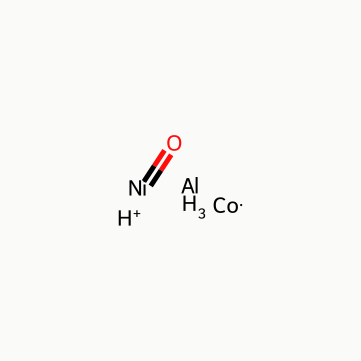 [AlH3].[Co].[H+].[O]=[Ni]